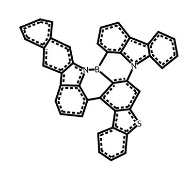 c1ccc2cc3c(cc2c1)c1cccc2c1n3B1c3c(cc4sc5ccccc5c4c3-2)-n2c3ccccc3c3cccc1c32